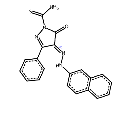 NC(=S)N1N=C(c2ccccc2)/C(=N\Nc2ccc3ccccc3c2)C1=O